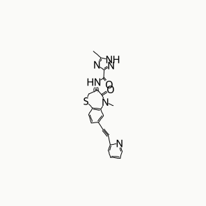 Cc1nc(C(=O)N[C@H]2CSc3ccc(C#Cc4ccccn4)cc3N(C)C2=O)n[nH]1